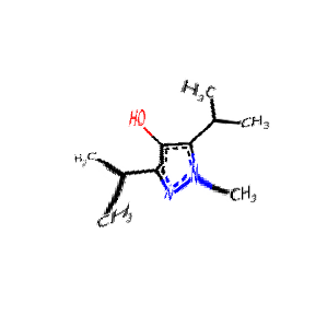 CC(C)c1nn(C)c(C(C)C)c1O